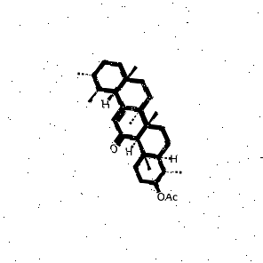 CC(=O)OC1CC[C@]2(C)[C@H]3C(=O)C=C4[C@@H]5[C@@H](C)[C@H](C)CC[C@]5(C)CC[C@@]4(C)[C@]3(C)CC[C@H]2[C@@H]1C